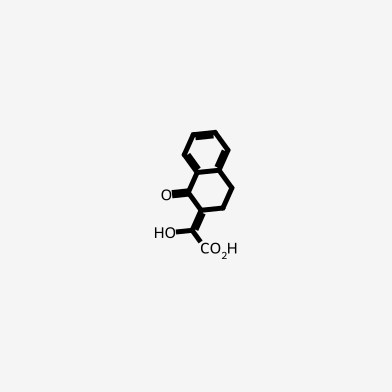 O=C(O)/C(O)=C1\CCc2ccccc2C1=O